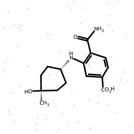 C[C@]1(O)CC[C@H](Nc2cc(C(=O)O)ccc2C(N)=O)CC1